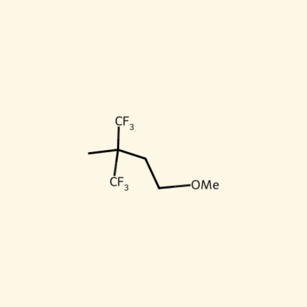 [CH2]OCCC(C)(C(F)(F)F)C(F)(F)F